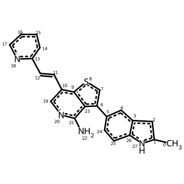 Cc1cc2cc(-c3csc4c(C=Cc5ccccn5)cnc(N)c34)ccc2[nH]1